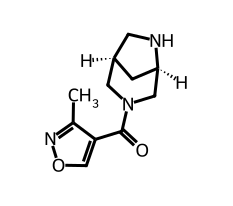 Cc1nocc1C(=O)N1C[C@H]2CN[C@H](C2)C1